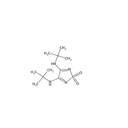 CC(C)(C)NC1=NS(=O)(=O)N=C1NC(C)(C)C